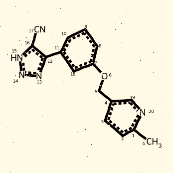 Cc1ccc(COc2cccc(-c3nn[nH]c3C#N)c2)cn1